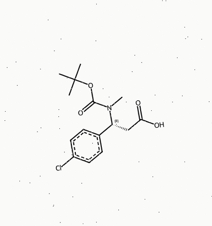 CN(C(=O)OC(C)(C)C)[C@H](CC(=O)O)c1ccc(Cl)cc1